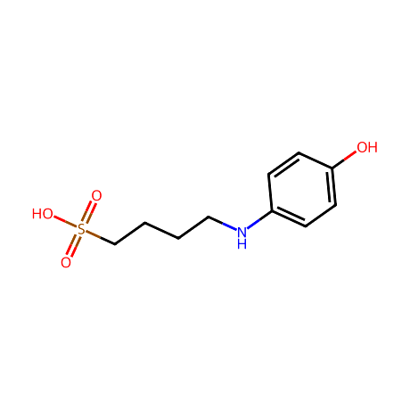 O=S(=O)(O)CCCCNc1ccc(O)cc1